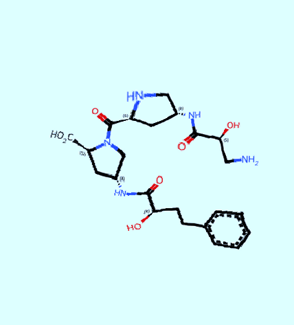 NC[C@H](O)C(=O)N[C@H]1CN[C@H](C(=O)N2C[C@H](NC(=O)[C@H](O)CCc3ccccc3)C[C@H]2C(=O)O)C1